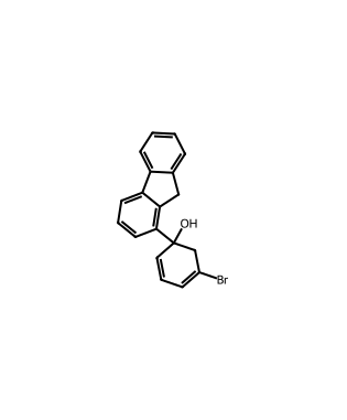 OC1(c2cccc3c2Cc2ccccc2-3)C=CC=C(Br)C1